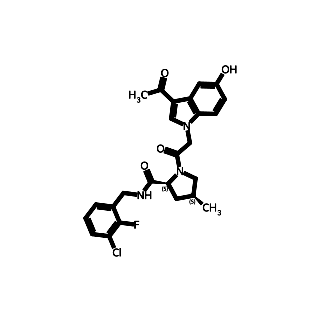 CC(=O)c1cn(CC(=O)N2C[C@@H](C)C[C@H]2C(=O)NCc2cccc(Cl)c2F)c2ccc(O)cc12